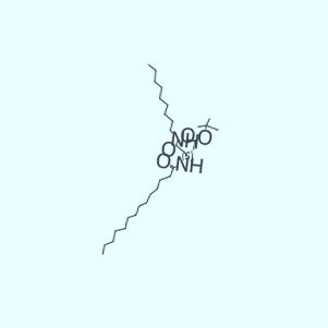 CCCCCCCCCCCCCC(=O)N[C@@H](CC(=O)OC(C)(C)C)C(=O)NCCCCCCCCC